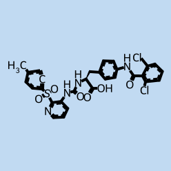 Cc1ccc(S(=O)(=O)c2ncccc2NC(=O)N[C@@H](Cc2ccc(NC(=O)c3c(Cl)cccc3Cl)cc2)C(=O)O)cc1